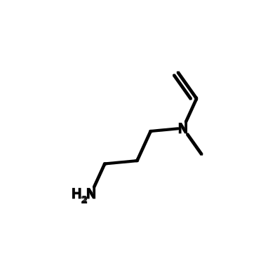 C=CN(C)CCCN